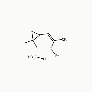 CCOC(=CC1CC1(C)C)C(F)(F)F.O=C(O)Cl